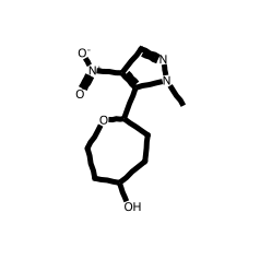 Cn1ncc([N+](=O)[O-])c1C1CCC(O)CCO1